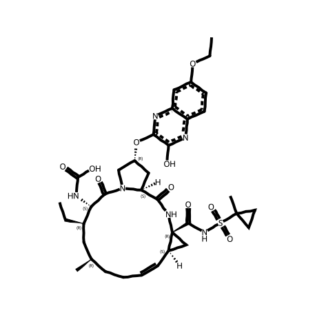 CCOc1ccc2nc(O)c(O[C@@H]3C[C@H]4C(=O)N[C@]5(C(=O)NS(=O)(=O)C6(C)CC6)C[C@H]5C=CCC[C@@H](C)C[C@@H](CC)[C@H](NC(=O)O)C(=O)N4C3)nc2c1